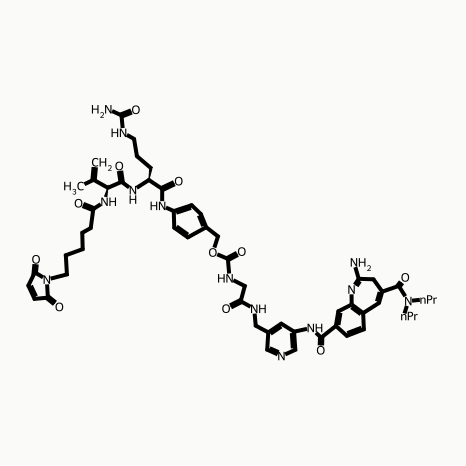 C=C(C)[C@H](NC(=O)CCCCCN1C(=O)C=CC1=O)C(=O)N[C@@H](CCCNC(N)=O)C(=O)Nc1ccc(COC(=O)NCC(=O)NCc2cncc(NC(=O)c3ccc4c(c3)N=C(N)CC(C(=O)N(CCC)CCC)=C4)c2)cc1